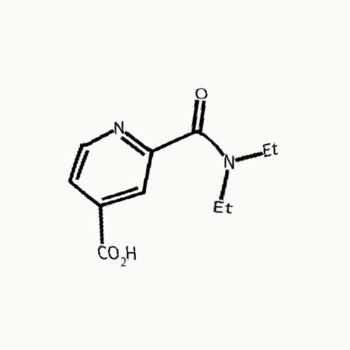 CCN(CC)C(=O)c1cc(C(=O)O)ccn1